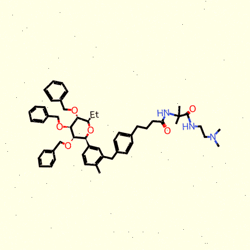 CC[C@H]1O[C@@H](c2ccc(C)c(Cc3ccc(CCCC(=O)NC(C)(C)C(=O)NCCN(C)C)cc3)c2)[C@H](OCc2ccccc2)[C@@H](OCc2ccccc2)[C@@H]1OCc1ccccc1